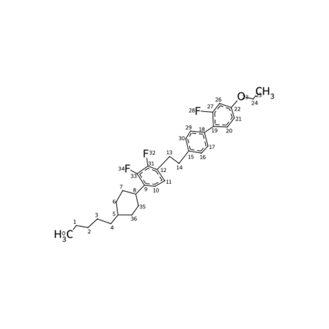 CCCCCC1CCC(c2ccc(CCc3ccc(-c4ccc(OCC)cc4F)cc3)c(F)c2F)CC1